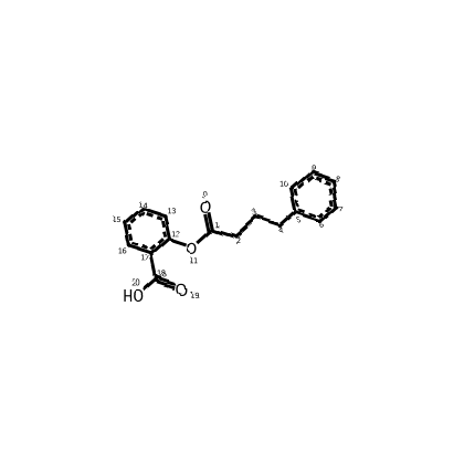 O=C(CCCc1ccccc1)Oc1ccccc1C(=O)O